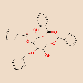 O=C(OC([C@@H](OCc1ccccc1)C(O)COCc1ccccc1)[C@H](O)OC(=O)c1ccccc1)c1ccccc1